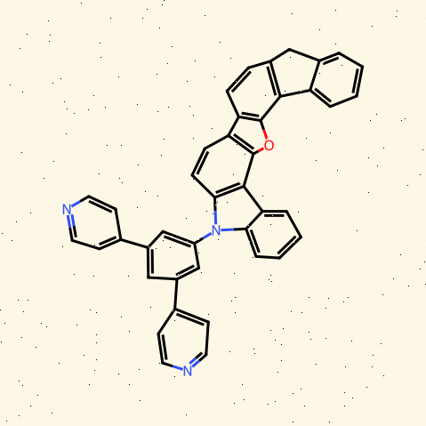 c1ccc2c(c1)Cc1ccc3c(oc4c3ccc3c4c4ccccc4n3-c3cc(-c4ccncc4)cc(-c4ccncc4)c3)c1-2